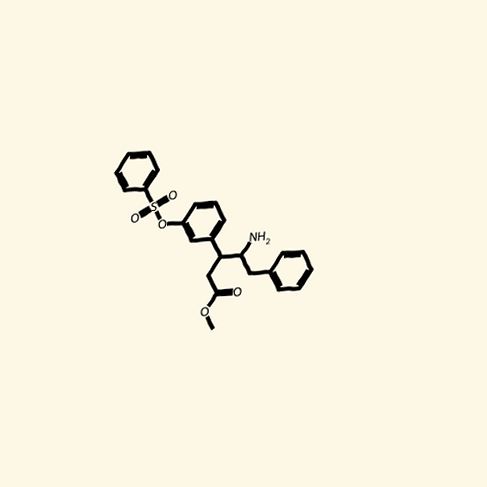 COC(=O)CC(c1cccc(OS(=O)(=O)c2ccccc2)c1)C(N)Cc1ccccc1